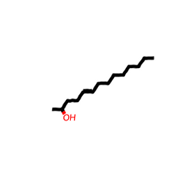 CCCCCCCC/C=C/CCC(C)O